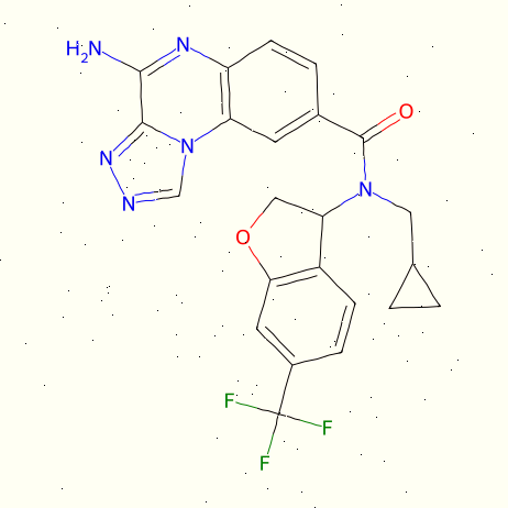 Nc1nc2ccc(C(=O)N(CC3CC3)C3COc4cc(C(F)(F)F)ccc43)cc2n2cnnc12